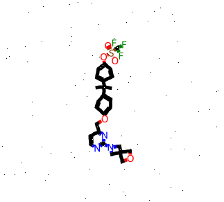 CC(C)(c1ccc(OCc2ccnc(N3CC4(COC4)C3)n2)cc1)c1ccc(OS(=O)(=O)C(F)(F)F)cc1